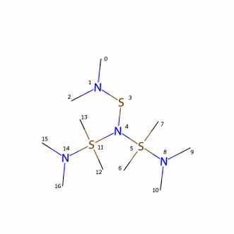 CN(C)SN(S(C)(C)N(C)C)S(C)(C)N(C)C